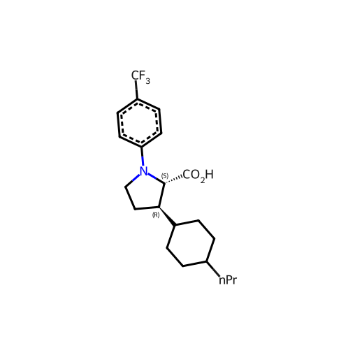 CCCC1CCC([C@H]2CCN(c3ccc(C(F)(F)F)cc3)[C@@H]2C(=O)O)CC1